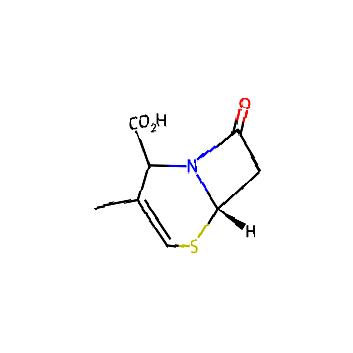 CC1=CS[C@H]2CC(=O)N2C1C(=O)O